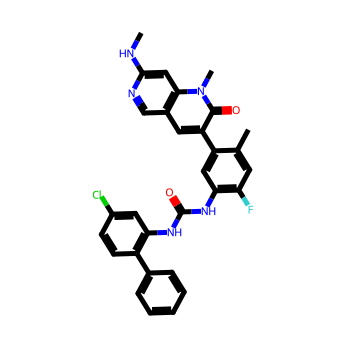 CNc1cc2c(cn1)cc(-c1cc(NC(=O)Nc3cc(Cl)ccc3-c3ccccc3)c(F)cc1C)c(=O)n2C